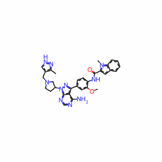 COc1cc(-c2nn(C3CCN(Cc4c[nH]nc4C)C3)c3ncnc(N)c23)ccc1NC(=O)c1cc2ccccc2n1C